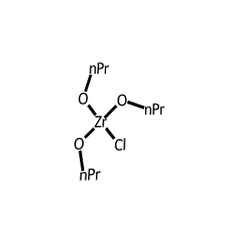 CCC[O][Zr]([Cl])([O]CCC)[O]CCC